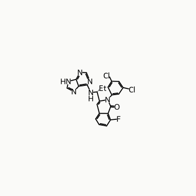 CC[C@@H](Nc1ncnc2[nH]cnc12)c1cc2cccc(F)c2c(=O)n1-c1cc(Cl)cc(Cl)c1